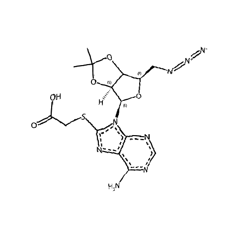 CC1(C)OC2[C@@H](CN=[N+]=[N-])O[C@@H](n3c(SCC(=O)O)nc4c(N)ncnc43)[C@H]2O1